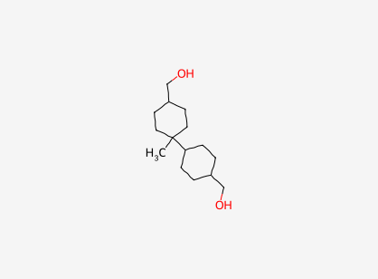 CC1(C2CCC(CO)CC2)CCC(CO)CC1